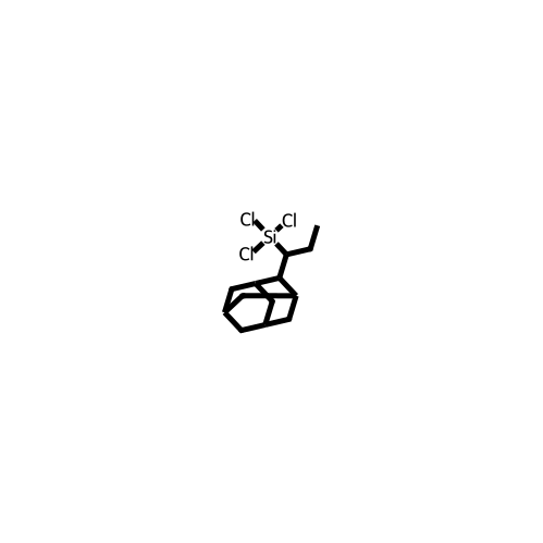 CCC(C1C2CC3CC(C2)CC1C3)[Si](Cl)(Cl)Cl